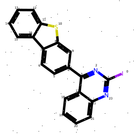 Ic1nc(-c2ccc3c(c2)sc2ccccc23)c2ccccc2n1